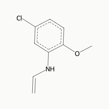 C=CNc1cc(Cl)ccc1OC